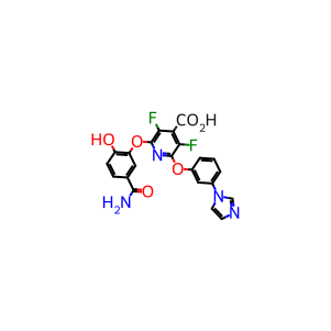 NC(=O)c1ccc(O)c(Oc2nc(Oc3cccc(-n4ccnc4)c3)c(F)c(C(=O)O)c2F)c1